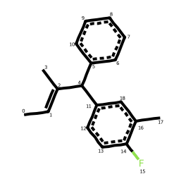 C/C=C(\C)C(c1ccccc1)c1ccc(F)c(C)c1